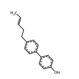 C/C=C/CCc1ccc(-c2ccc(O)cc2)cc1